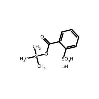 C[Si](C)(C)OC(=O)c1ccccc1S(=O)(=O)O.[LiH]